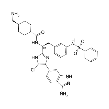 NC[C@H]1CC[C@H](C(=O)N[C@@H](Cc2cccc(NS(=O)(=O)c3ccccc3)c2)c2nc(-c3ccc4c(N)n[nH]c4c3)c(Cl)[nH]2)CC1